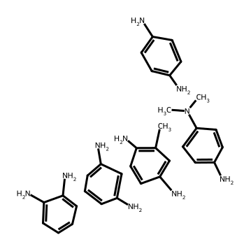 CN(C)c1ccc(N)cc1.Cc1cc(N)ccc1N.Nc1ccc(N)cc1.Nc1cccc(N)c1.Nc1ccccc1N